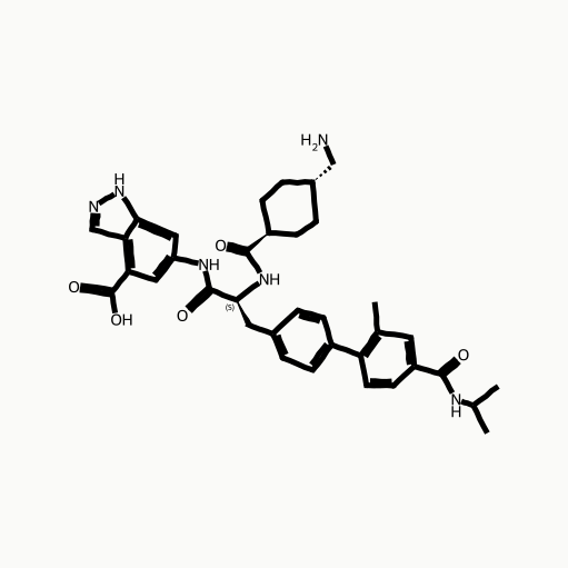 Cc1cc(C(=O)NC(C)C)ccc1-c1ccc(C[C@H](NC(=O)[C@H]2CC[C@H](CN)CC2)C(=O)Nc2cc(C(=O)O)c3cn[nH]c3c2)cc1